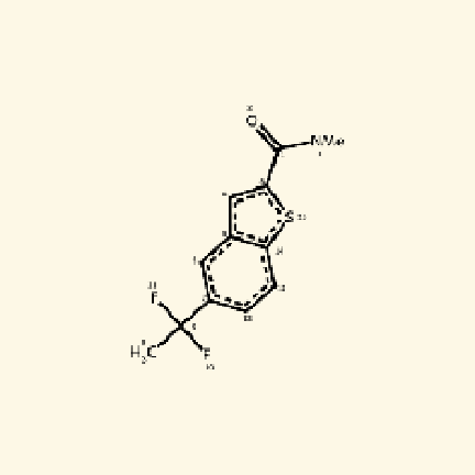 CNC(=O)c1cc2cc(C(C)(F)F)ccc2s1